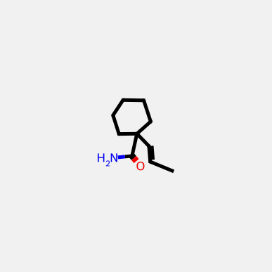 CC=CC1(C(N)=O)CCCCC1